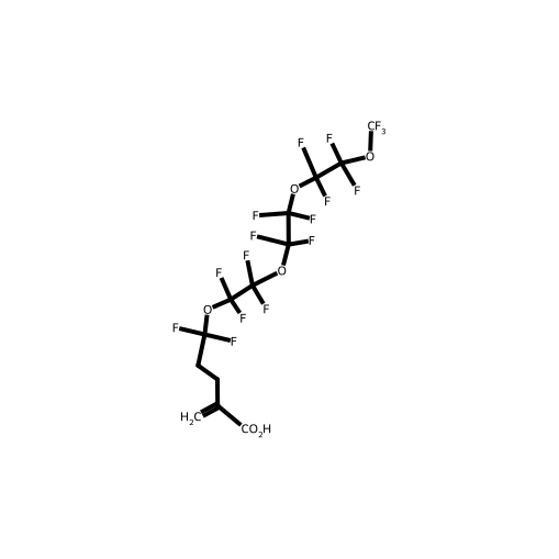 C=C(CCC(F)(F)OC(F)(F)C(F)(F)OC(F)(F)C(F)(F)OC(F)(F)C(F)(F)OC(F)(F)F)C(=O)O